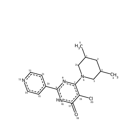 CC1CC(C)CN(c2nc(-c3ccncc3)[nH]c(=O)c2Cl)C1